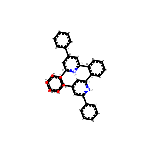 c1ccc(-c2cc(-c3ccccc3)nc(-c3ccccc3-c3cc(-c4ccccc4)cc(-c4ccccc4)n3)c2)cc1